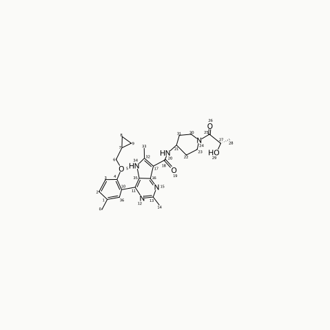 Cc1ccc(OCC2CC2)c(-c2nc(C)nc3c(C(=O)NC4CCN(C(=O)[C@H](C)O)CC4)c(C)[nH]c23)c1